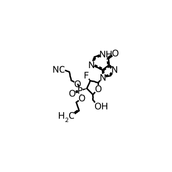 C=CCOP(=O)(OCCC#N)[C@@H]1C(CO)OC(n2cnc3c(=O)[nH]cnc32)[C@@H]1F